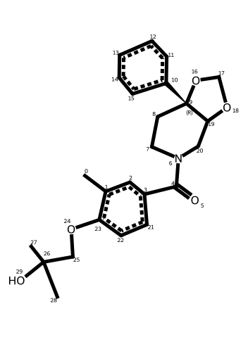 Cc1cc(C(=O)N2CC[C@]3(c4ccccc4)OCOC3C2)ccc1OCC(C)(C)O